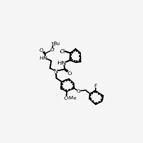 COc1cc(CN(CCNC(=O)OC(C)(C)C)C(=O)Nc2ccccc2Cl)ccc1OCc1ccccc1F